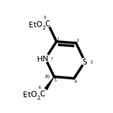 CCOC(=O)C1=CSC[C@@H](C(=O)OCC)N1